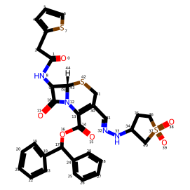 O=C(Cc1cccs1)NC1C(=O)N2C(C(=O)OC(c3ccccc3)c3ccccc3)=C(C=NNC3CCS(=O)(=O)C3)CS[C@@H]12